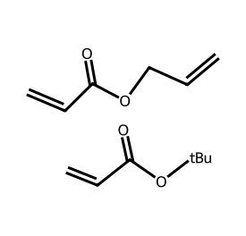 C=CC(=O)OC(C)(C)C.C=CCOC(=O)C=C